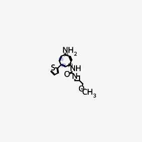 COCC1CN(C(=O)N[C@H]2C#C[C@@H](N)/C=C\C(c3cccs3)=C/2)C1